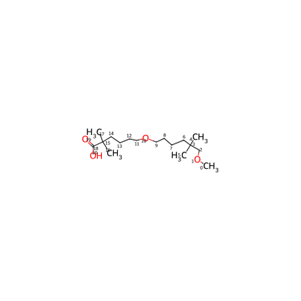 COCC(C)(C)CCCCOCCCCC(C)(C)C(=O)O